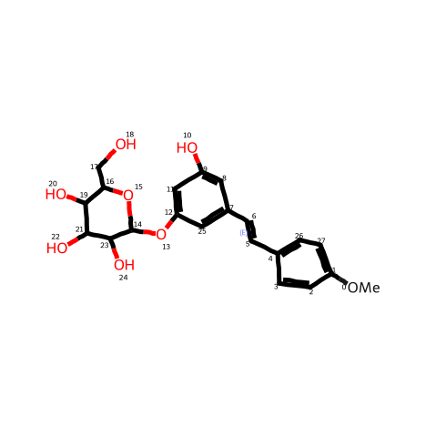 COc1ccc(/C=C/c2cc(O)cc(OC3OC(CO)C(O)C(O)C3O)c2)cc1